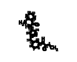 C=CC(=O)Nc1cccc(Cn2cc(NC(=O)c3nccnc3N)cn2)c1